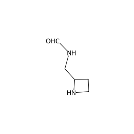 O=[C]NCC1CCN1